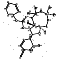 CC(C)[Si]1(C(C)C)OC[C@H]2O[C@@H](n3ccc(=O)[nH]c3=O)[C@H](OC(=S)Oc3ccccc3)[C@@H]2O[Si](C(C)C)(C(C)C)O1